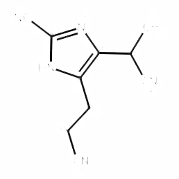 CC(C#N)c1nc(C#N)[nH]c1CCC#N